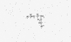 O.O.O.[Al+3].[Al].[OH-].[OH-].[OH-]